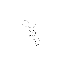 Cc1cn(Cc2ccccc2)c(=O)n(CC(C)N2CC[CH]CC2)c1=O